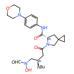 CCCC[C@H](CC(=O)N1CC2(CC2)C[C@H]1C(=O)Nc1ccc(N2CCOCC2)cc1)CN(O)C=O